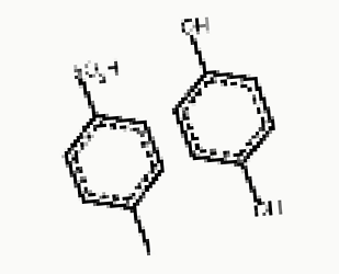 Cc1ccc(S(=O)(=O)O)cc1.Oc1ccc(O)cc1